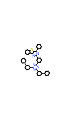 c1ccc(-c2cccc(-c3nc(-c4cccc(-c5ccccc5)c4)nc(-c4cccc(-c5nc(-c6ccccc6)c6sc7ccccc7c6n5)c4)n3)c2)cc1